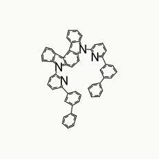 c1ccc(-c2cccc(-c3cccc(-n4c5ccccc5c5c6c7ccccc7n(-c7cccc(-c8cccc(-c9ccccc9)c8)n7)c6ccc54)n3)c2)cc1